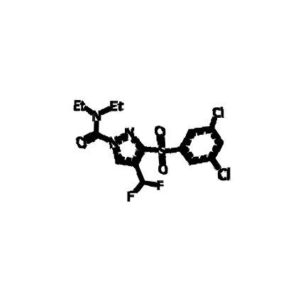 CCN(CC)C(=O)n1cc(C(F)F)c(S(=O)(=O)c2cc(Cl)cc(Cl)c2)n1